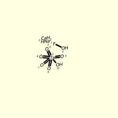 OF.[CaH2].[NaH].[O]=[Ta](=[O])(=[O])(=[O])(=[O])[OH]